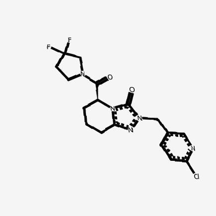 O=C([C@@H]1CCCc2nn(Cc3ccc(Cl)nc3)c(=O)n21)N1CCC(F)(F)C1